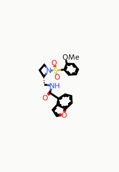 COc1ccccc1S(=O)(=O)N1CC[C@H]1CNC(=O)c1cccc2occc12